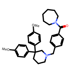 COc1ccc(C2(c3ccc(OC)cc3)CCCN(Cc3ccc(C(=O)N4CCCCCC4)cc3)C2)cc1